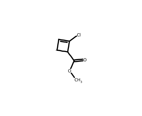 COC(=O)C1[CH]C=C1Cl